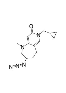 CN1CC(N=[N+]=[N-])CCc2cn(CC3CC3)c(=O)cc21